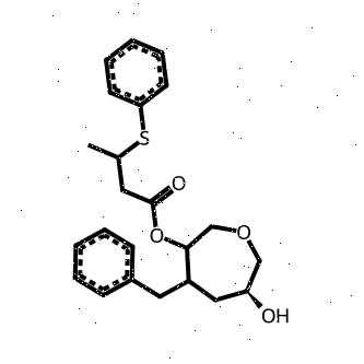 CC(CC(=O)OC1COC[C@@H](O)CC1Cc1ccccc1)Sc1ccccc1